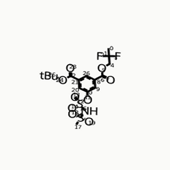 CC(F)(F)COC(=O)c1cc(OS(=O)(=O)NS(C)(=O)=O)cc(C(=O)OC(C)(C)C)c1